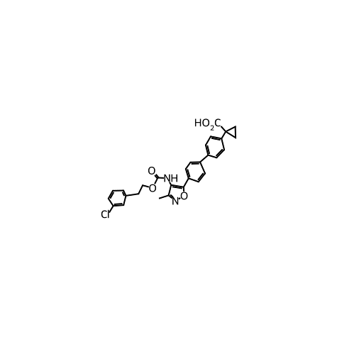 Cc1noc(-c2ccc(-c3ccc(C4(C(=O)O)CC4)cc3)cc2)c1NC(=O)OCCc1cccc(Cl)c1